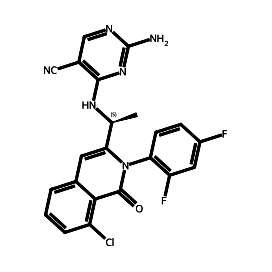 C[C@H](Nc1nc(N)ncc1C#N)c1cc2cccc(Cl)c2c(=O)n1-c1ccc(F)cc1F